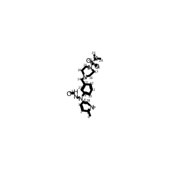 Cc1ccc(N(NC=O)c2cccc(CN3CCN(S(=O)(=O)N(C)C)CC3)c2)cn1